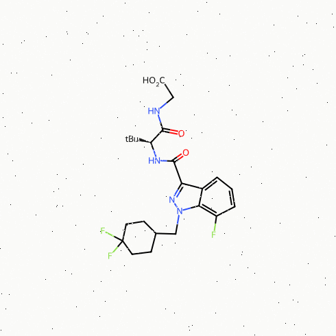 CC(C)(C)[C@H](NC(=O)c1nn(CC2CCC(F)(F)CC2)c2c(F)cccc12)C(=O)NCC(=O)O